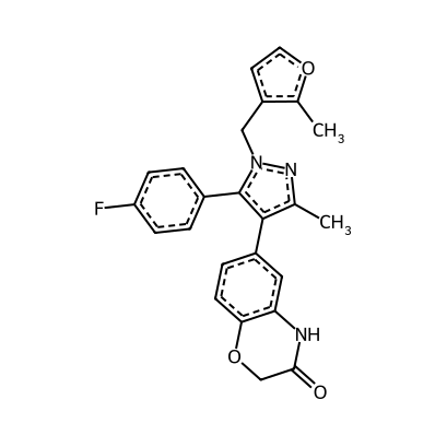 Cc1nn(Cc2ccoc2C)c(-c2ccc(F)cc2)c1-c1ccc2c(c1)NC(=O)CO2